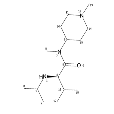 CC(C)N[C@@H](C(=O)N(C)C1CCN(C)CC1)C(C)C